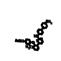 CC(=O)Nc1ccc(Oc2ncccc2-c2ccnc(Nc3ccc(N4CCN(C)CC4)cc3)n2)c(C)c1